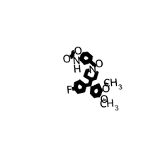 COc1ccc([C@H](c2ccc(F)cc2)C2CCN(C(=O)c3ccc4c(c3)NC(=O)CO4)CC2)cc1OC